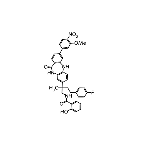 COc1cc(-c2ccc3c(c2)Nc2ccc(C(C)(CCc4ccc(F)cc4)CNC(=O)c4ccccc4O)cc2NC3=O)ccc1[N+](=O)[O-]